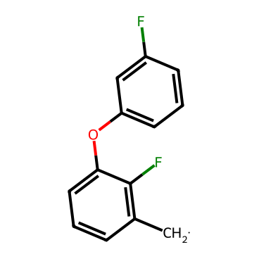 [CH2]c1cccc(Oc2cccc(F)c2)c1F